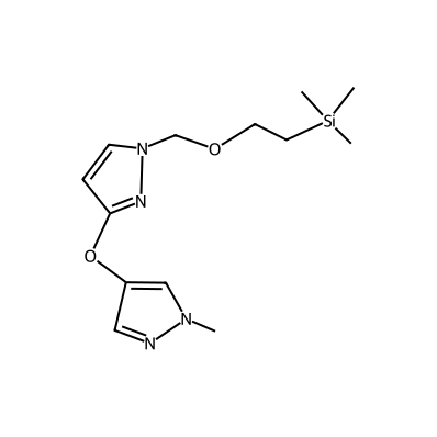 Cn1cc(Oc2ccn(COCC[Si](C)(C)C)n2)cn1